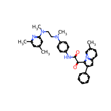 Cc1cc(C)nc(N(C)CCN(C)c2ccc(NC(=O)C(=O)c3c(-c4ccccc4)cc4ccc(C)cn34)cc2)c1